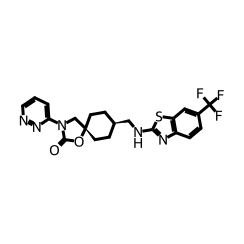 O=C1O[C@]2(CC[C@H](CNc3nc4ccc(C(F)(F)F)cc4s3)CC2)CN1c1cccnn1